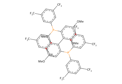 COc1cc(OC)c(-c2c(OC)cc(OC)cc2P(c2cc(C(F)(F)F)cc(C(F)(F)F)c2)c2cc(C(F)(F)F)cc(C(F)(F)F)c2)c(P(c2cc(C(F)(F)F)cc(C(F)(F)F)c2)c2cc(C(F)(F)F)cc(C(F)(F)F)c2)c1